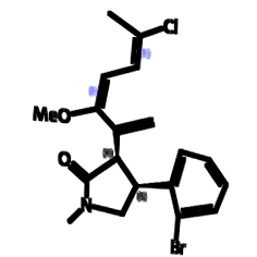 C=C(/C(=C\C=C(/C)Cl)OC)[C@@H]1C(=O)N(C)C[C@@H]1c1ccccc1Br